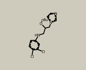 CCCCOC(CNc1ccc(Cl)c(Cl)c1)Cn1ccnc1